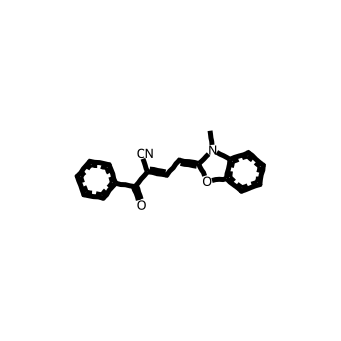 CN1/C(=C/C=C(\C#N)C(=O)c2ccccc2)Oc2ccccc21